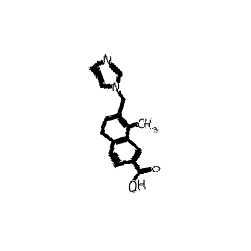 CC1=C(Cn2ccnc2)CCc2ccc(C(=O)O)cc21